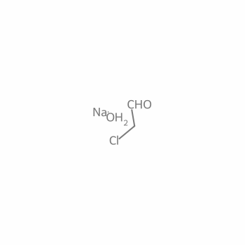 O.O=CCCl.[Na]